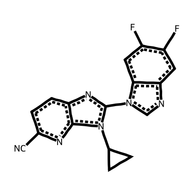 N#Cc1ccc2nc(-n3cnc4cc(F)c(F)cc43)n(C3CC3)c2n1